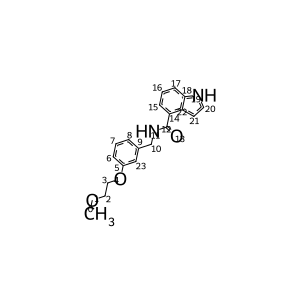 COCCOc1cccc(CNC(=O)c2cccc3[nH]ccc23)c1